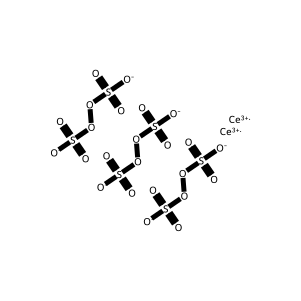 O=S(=O)([O-])OOS(=O)(=O)[O-].O=S(=O)([O-])OOS(=O)(=O)[O-].O=S(=O)([O-])OOS(=O)(=O)[O-].[Ce+3].[Ce+3]